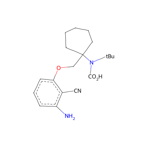 CC(C)(C)N(C(=O)O)C1(COc2cccc(N)c2C#N)CCCCC1